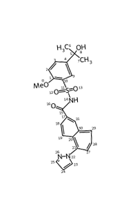 COc1ccc(C(C)(C)O)cc1S(=O)(=O)NC(=O)c1ccc2c(-n3cccn3)cccc2c1